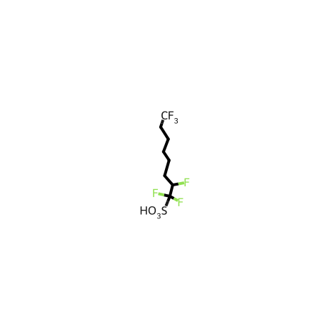 O=S(=O)(O)C(F)(F)C(F)CCCCCC(F)(F)F